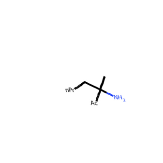 CCCCC(C)(N)C(C)=O